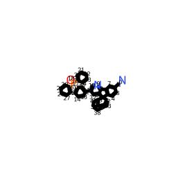 N#Cc1ccc2c(c1)-c1ncc(-c3cccc(P(=O)(c4ccccc4)c4ccccc4)c3)cc1C21C2CC3CC(C2)CC1C3